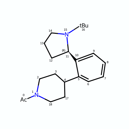 CC(=O)N1CCC(c2ccccc2[C@H]2CCCN2C(C)(C)C)CC1